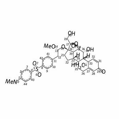 CNc1ccc(S(=O)(=O)c2ccc(C[C@H](OC)O[C@]3(C(=O)CO)CC[C@H]4[C@@H]5CCC6=CC(=O)C=C[C@]6(C)[C@H]5[C@@H](O)C[C@@]43C)cc2)cc1